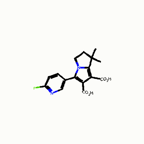 CC1(C)CCn2c(-c3ccc(F)nc3)c(C(=O)O)c(C(=O)O)c21